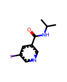 CC(C)NC(=O)c1cncc(I)c1